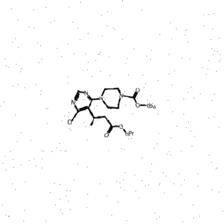 CCCOC(=O)C[C@@H](C)c1c(Cl)ncnc1N1CCN(C(=O)OC(C)(C)C)CC1